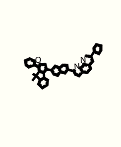 CC1(C)c2ccccc2-c2c(-c3ccc4cc(-c5ccc6ccc7cc(-c8ccccc8)cnc7c6n5)ccc4c3)cc3oc4ccccc4c3c21